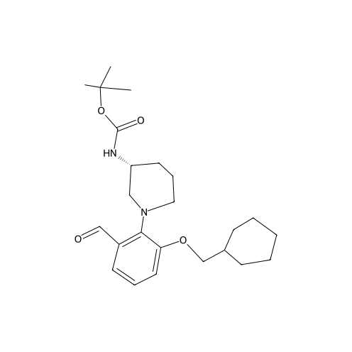 CC(C)(C)OC(=O)N[C@@H]1CCCN(c2c(C=O)cccc2OCC2CCCCC2)C1